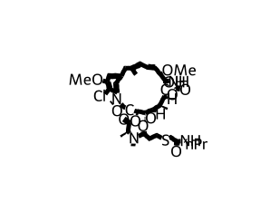 CCCNC(=O)CSCCC(=O)N(C)[C@@H](C)C(=O)O[C@H]1CC(=O)N(C)c2cc(cc(OC)c2Cl)C/C(C)=C/C=C/[C@@H](OC)[C@@]2(O)C[C@H](OC(=O)N2)[C@@H](C)[C@@H]2O[C@@]12C